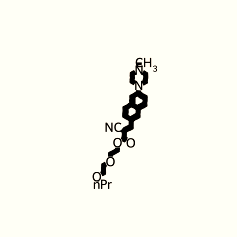 CCCOCCOCCOC(=O)/C(C#N)=C/c1ccc2cc(N3CCN(C)CC3)ccc2c1